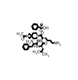 CC(=O)N1CC2(CCN(C(=O)[C@@H](CCCCN)NC(=O)[C@@H](CC(C)C)NC(=O)[C@H](N)Cc3ccccc3)CC2)C1.O=S(=O)(O)c1ccccc1